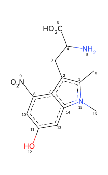 Cc1c(CC(N)C(=O)O)c2c([N+](=O)[O-])cc(O)cc2n1C